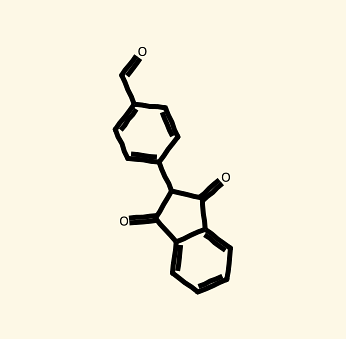 O=Cc1ccc(C2C(=O)c3ccccc3C2=O)cc1